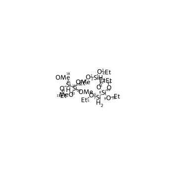 CCO[SiH2]OCC.CCO[SiH2][Si](OCC)(OCC)OCC.CCO[SiH](OC)[Si](OC)(OC)OC